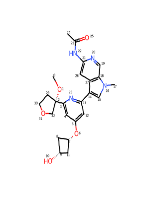 CO[C@@]1(c2cc(O[C@H]3C[C@@H](O)C3)cc(-c3cn(C)c4cnc(NC(C)=O)cc34)n2)CCOC1